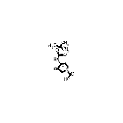 CC(C)(C)OC(=O)N[C@H]1CCN(C(=O)O)C[C@H]1O